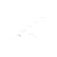 CC(C)(C)OC(=O)NC(CCOCCO)CCC(F)(F)F